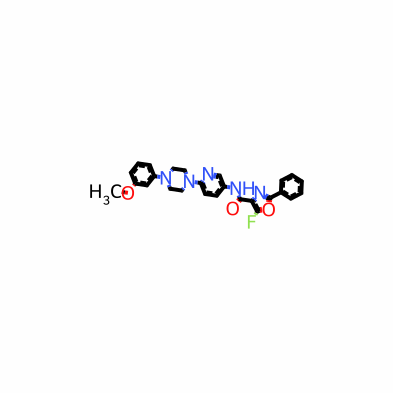 COc1cccc(N2CCN(c3ccc(NC(=O)c4nc(-c5ccccc5)oc4F)cn3)CC2)c1